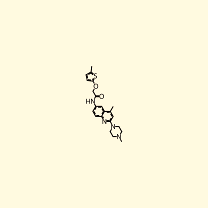 Cc1ccc(OCC(=O)Nc2ccc3nc(N4CCN(C)CC4)cc(C)c3c2)s1